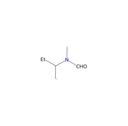 [CH2]C(CC)N(C)C=O